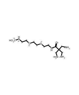 NCC(CN)(CN)C(=O)NCCOCCOCCNC(=O)O